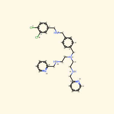 Clc1ccc(CNCc2ccc(CN(CCNCc3ccccn3)CCNCc3ccccn3)cc2)cc1Cl